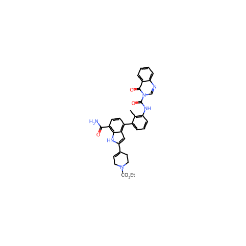 CCOC(=O)N1CC=C(c2cc3c(-c4cccc(NC(=O)n5cnc6ccccc6c5=O)c4C)ccc(C(N)=O)c3[nH]2)CC1